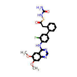 COc1cc2ncnc(Nc3ccc(-c4ccccc4CC(=O)SNC(N)=O)cc3F)c2cc1OC